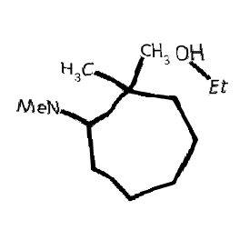 CCO.CNC1CCCCCC1(C)C